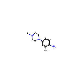 CC(=O)c1cc(N2CCN(C)CC2)ccc1N